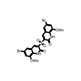 COc1cc(Br)cc2cc(S(=O)(=O)c3cc4cc(Br)cc(OC)c4[nH]c3=O)c(=O)[nH]c12